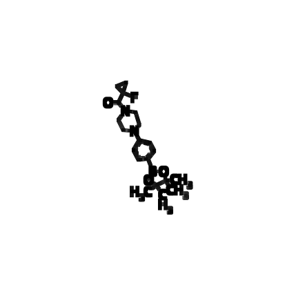 CC1(C)OB(c2ccc(N3CCN(C(=O)C4(F)CC4)CC3)cc2)OC1(C)C